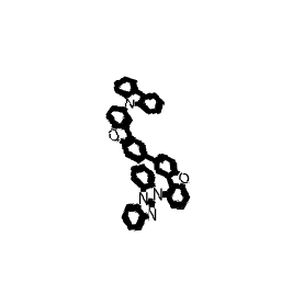 c1ccc2c(c1)nc1n(-c3cccc4oc5ccc(-c6ccc7oc8ccc(-n9c%10ccccc%10c%10ccccc%109)cc8c7c6)cc5c34)c3ccccc3n21